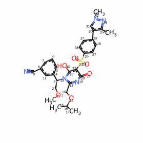 COC[C@@H](c1cccc(C#N)c1)n1c(COC(C)C)nc(=O)c(S(=O)(=O)c2ccc(-c3cn(C)nc3C)cc2)c1O